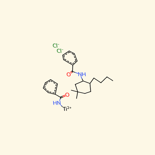 CCCCC1CCC(C)(C)CC1NC(=O)c1ccccc1.O=C([NH][Ti+2])c1ccccc1.[Cl-].[Cl-]